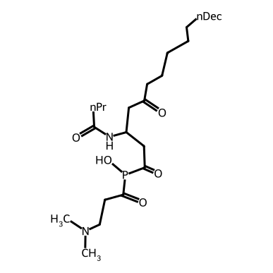 CCCCCCCCCCCCCCCC(=O)CC(CC(=O)P(O)C(=O)CCN(C)C)NC(=O)CCC